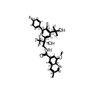 COc1cc(C(=O)NC[C@](O)(c2cc(C(C)(C)O)c(F)c(-c3ccc(F)cc3)n2)C(F)(F)F)cc2cc(C)cnc12